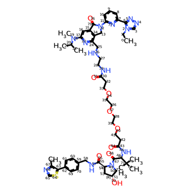 CCn1cnnc1-c1cccc(N2Cc3c(cc(N(C)C(C)C)nc3CNCCNC(=O)CCOCCOCCOCCC(=O)N[C@H](C(=O)N3C[C@H](O)C[C@H]3C(=O)NCc3ccc(-c4scnc4C)cc3)C(C)(C)C)C2=O)n1